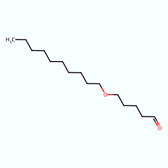 CCCCCCCCCCOCCCCC=O